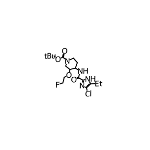 CCc1[nH]c(C(=O)NC2CCN(C(=O)OC(C)(C)C)CC2OCCF)nc1Cl